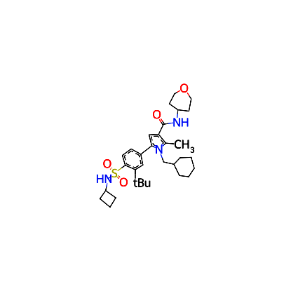 Cc1c(C(=O)NC2CCOCC2)cc(-c2ccc(S(=O)(=O)NC3CCC3)c(C(C)(C)C)c2)n1CC1CCCCC1